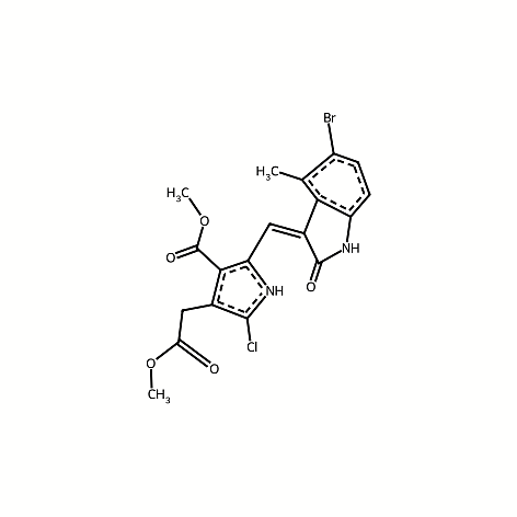 COC(=O)Cc1c(Cl)[nH]c(C=C2C(=O)Nc3ccc(Br)c(C)c32)c1C(=O)OC